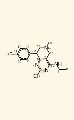 CCNc1nc(Cl)nc2c1CN(C)CC2c1ccc(F)cc1